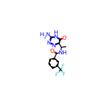 CC(NC(=O)c1cccc(C(F)(F)F)c1)c1nnc(N)[nH]c1=O